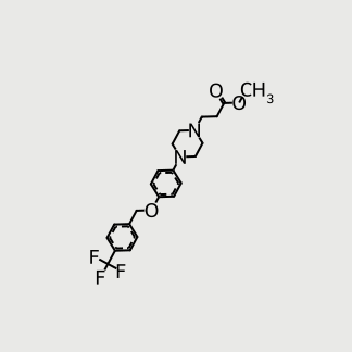 COC(=O)CCN1CCN(c2ccc(OCc3ccc(C(F)(F)F)cc3)cc2)CC1